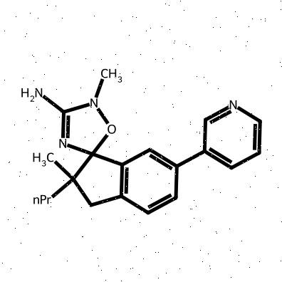 CCCC1(C)Cc2ccc(-c3cccnc3)cc2C12N=C(N)N(C)O2